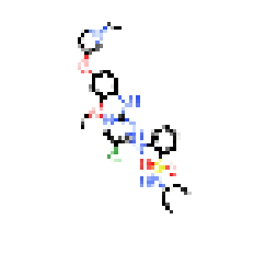 CCOc1cc(OC2CCN(CC)C2)ccc1Nc1ncc(Cl)c(Nc2ccccc2S(=O)(=O)NC(CC)CC)n1